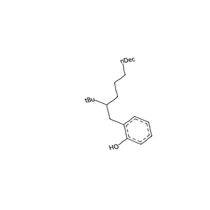 CCCCCCCCCCCCCC(Cc1ccccc1O)C(C)(C)C